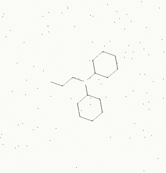 [CH]CCP(C1CCCCC1)C1CCCCC1